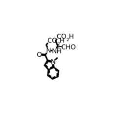 Cn1c(C(=O)N(CC(=O)O)N[C@H](C=O)CC(=O)O)cc2ccccc21